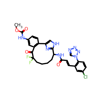 COC(=O)Nc1ccc2c(c1)C(=O)C(F)(F)CCCCC(NC(=O)C=Cc1cc(Cl)ccc1-n1cnnn1)c1nc-2c[nH]1